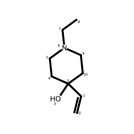 C=CC1(O)CCN(CC)CC1